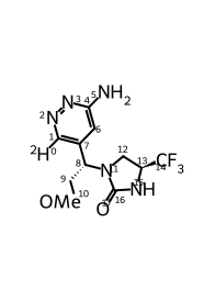 [2H]c1nnc(N)cc1[C@@H](COC)N1C[C@@H](C(F)(F)F)NC1=O